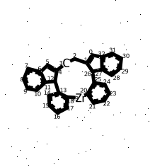 C1=C2CCC3=Cc4ccccc4C3c3cccc[c]3[Zr][c]3ccccc3C2c2ccccc21